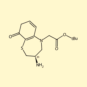 CC(C)(C)OC(=O)CN1C[C@@H](N)CSC2=C1C=CCC2=O